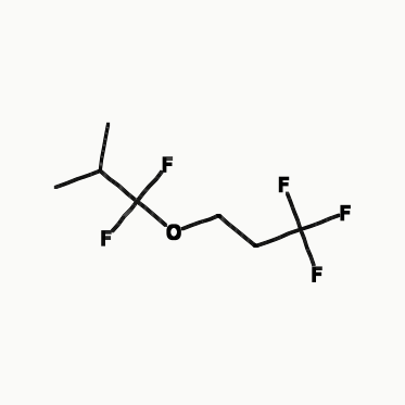 CC(C)C(F)(F)OCCC(F)(F)F